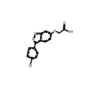 O=C(O)COc1ccc2c(-c3ccc(Cl)cc3)noc2c1